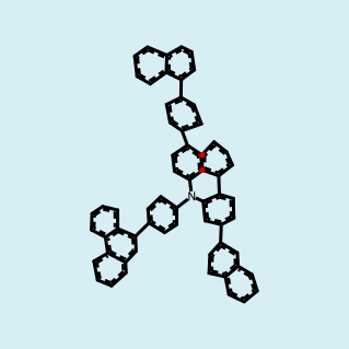 c1ccc(-c2ccc(-c3ccc4ccccc4c3)cc2N(c2ccc(-c3ccc(-c4cccc5ccccc45)cc3)cc2)c2ccc(-c3cc4ccccc4c4ccccc34)cc2)cc1